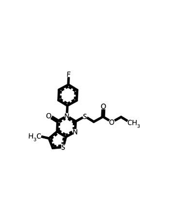 CCOC(=O)CSc1nc2scc(C)c2c(=O)n1-c1ccc(F)cc1